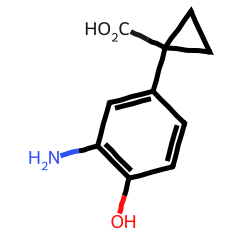 Nc1cc(C2(C(=O)O)CC2)ccc1O